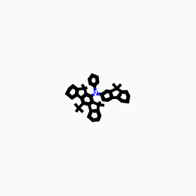 CC(C)(C)c1c2c(c(N(c3ccccc3)c3ccc4c(c3)C(C)(C)c3ccccc3-4)c3c1-c1ccccc1C3(C)C)C(C)(C)c1ccccc1-2